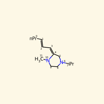 CCC/C=C/C=C1/CN(C(C)C)CCN1C